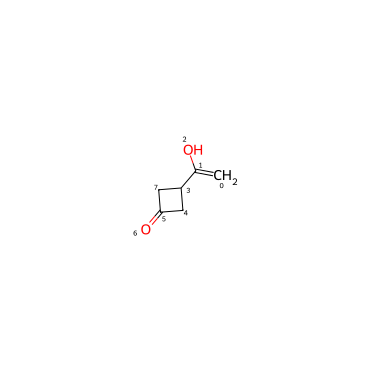 C=C(O)C1CC(=O)C1